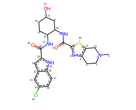 CN1CCc2nc(C(=O)NC3CC(O)CCC3NC(=O)c3cc4cc(Cl)ccc4[nH]3)sc2C1